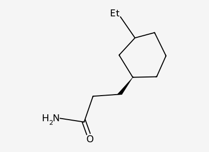 CCC1CCC[C@@H](CCC(N)=O)C1